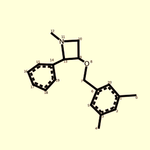 Cc1cc(C)cc(COC2CN(C)C2c2ccccc2)c1